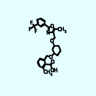 Cc1cccc(CO[C@@H]2CCC[C@H](OCc3nc(-c4cccc(C(F)(F)F)c4)oc3C)C2)c1C(=O)O